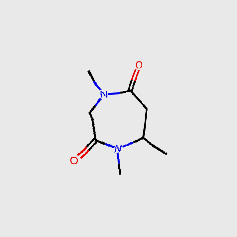 CC1CC(=O)N(C)CC(=O)N1C